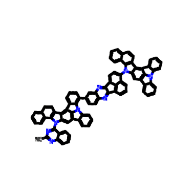 N#Cc1nc(-n2c3cc4c5ccccc5n5c6c(-c7ccc8nc9c(nc8c7)-c7ccc(-n8c%10cc%11c%12ccccc%12n%12c%13ccccc%13c(c%10c%10ccc%13ccccc%13c%108)c%11%12)c8cccc-9c78)cccc6c(c3c3ccc6ccccc6c32)c45)c2ccccc2n1